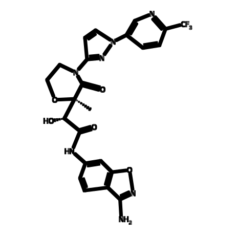 C[C@]1([C@@H](O)C(=O)Nc2ccc3c(N)noc3c2)OCCN(c2ccn(-c3ccc(C(F)(F)F)nc3)n2)C1=O